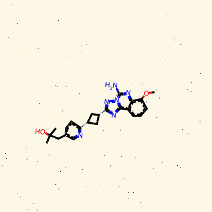 COc1cccc2c1nc(N)n1nc([C@H]3C[C@@H](c4ccc(CC(C)(C)O)cn4)C3)nc21